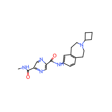 CNC(=O)c1cnc(C(=O)Nc2ccc3c(c2)CCN(C2CCC2)CC3)cn1